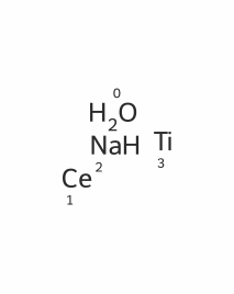 O.[Ce].[NaH].[Ti]